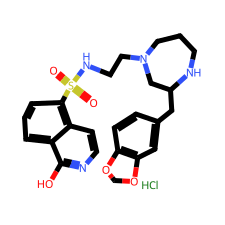 Cl.O=S(=O)(NCCN1CCCNC(Cc2ccc3c(c2)OCO3)C1)c1cccc2c(O)nccc12